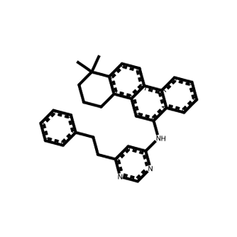 CC1(C)CCCc2c1ccc1c2cc(Nc2cc(CCc3ccccc3)ncn2)c2ccccc21